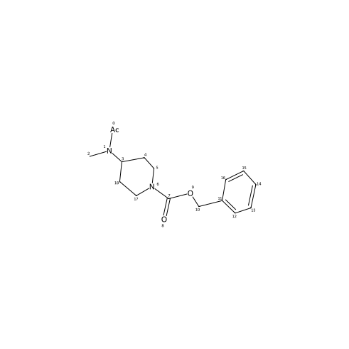 CC(=O)N(C)C1CCN(C(=O)OCc2ccccc2)CC1